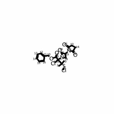 CC(C)(SCl)C(Cl)(C(=O)OCc1ccccc1)N1CC(N2C(=O)CCC2=O)C1=O